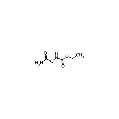 CCOC(=O)NOC(N)=O